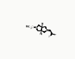 O=C(O)N1C[C@H]2CN(CC(F)F)C[C@H]2C1